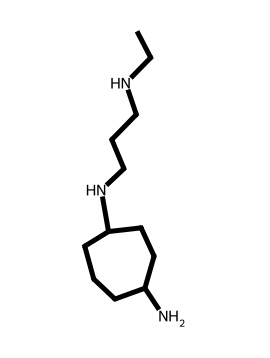 CCNCCCNC1CCCC(N)CC1